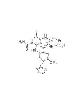 COc1ncc(Nc2nc(N[C@H](CC(C)C)[C@H](C)NC(=O)O)c(F)cc2C(N)=O)cc1-n1nccn1